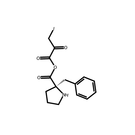 O=C(CI)C(=O)OC(=O)[C@]1(Cc2ccccc2)CCCN1